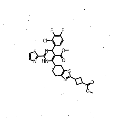 COC(=O)C1=C(C2CCc3nc(C4CC(C(=O)OC)C4)sc3C2)NC(c2nccs2)=NC1c1ccc(F)c(F)c1Cl